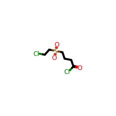 O=C(Cl)CCCS(=O)(=O)CCCl